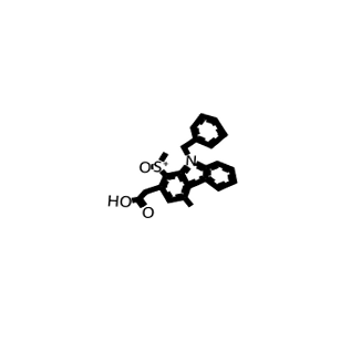 Cc1cc(CC(=O)O)c([S+](C)[O-])c2c1c1ccccc1n2Cc1ccccc1